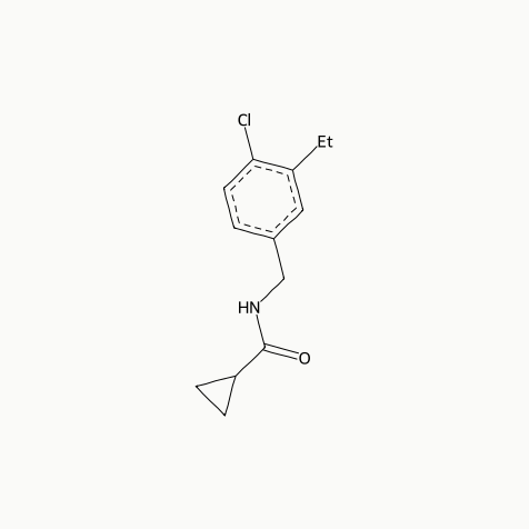 CCc1cc(CNC(=O)C2CC2)ccc1Cl